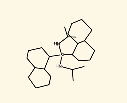 CC(C)N[Si](NC(C)C)(C1CCCC2CCCCC21)C1CCCC2CCCCC21